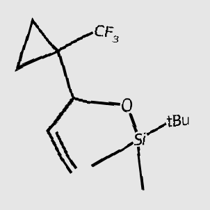 C=CC(O[Si](C)(C)C(C)(C)C)C1(C(F)(F)F)CC1